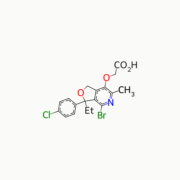 CCC1(c2ccc(Cl)cc2)OCc2c(OCC(=O)O)c(C)nc(Br)c21